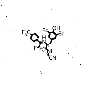 N#CCNC(=O)[C@H](Cc1cc(Br)c(O)c(Br)c1)N[C@@H](c1ccc(C(F)(F)F)cc1)C(F)F